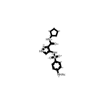 CC(=O)Nc1ccc(S(=O)(=O)Nc2c[nH]nc2C(=O)NC2CCCC2)cc1